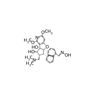 COc1cc2c(c(OC)n1)[C@]1(O)[C@H](O)[C@H](CN(C)C)[C@@H](c3ccccc3)[C@]1(c1ccc(/C=N/O)cc1)O2